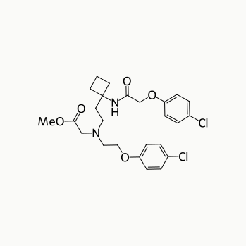 COC(=O)CN(CCOc1ccc(Cl)cc1)CCC1(NC(=O)COc2ccc(Cl)cc2)CCC1